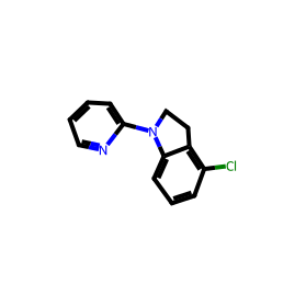 Clc1cccc2c1CCN2c1ccccn1